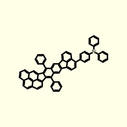 c1ccc(-c2c3cc4c(cc3c(-c3ccccc3)c3c5cc6cccc7ccc8ccc(c23)c5c8c76)c2cccc3c(-c5ccc(N(c6ccccc6)c6ccccc6)cc5)ccc4c32)cc1